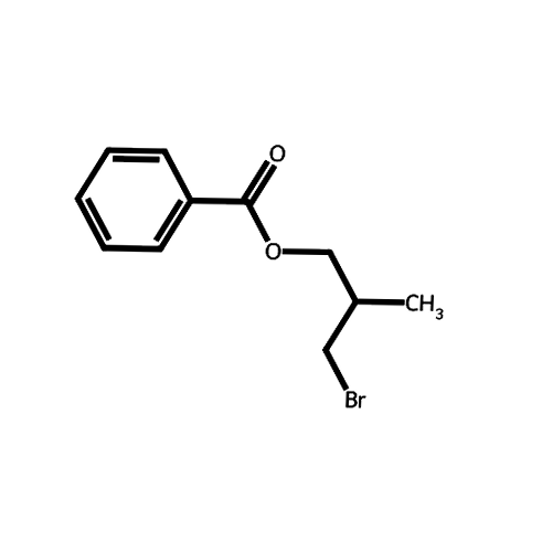 CC(CBr)COC(=O)c1ccccc1